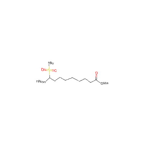 CCCCCCCCCC(CCCCCCCC(=O)OC)S(=O)(=O)CCCC